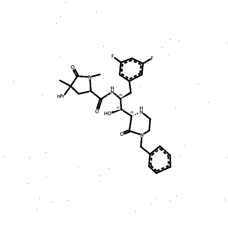 CCCC1(C)CC(C(=O)N[C@@H](Cc2cc(F)cc(F)c2)[C@H](O)[C@@H]2NCCN(Cc3ccccc3)C2=O)N(C)C1=O